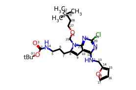 CC(C)(C)OC(=O)NCCCc1cc2c(NCc3ccco3)nc(Cl)nc2n1COCC[Si](C)(C)C